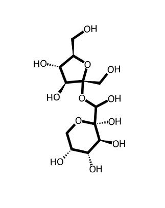 OC[C@H]1O[C@](CO)(OC(O)[C@]2(O)OC[C@@H](O)[C@@H](O)[C@@H]2O)[C@@H](O)[C@@H]1O